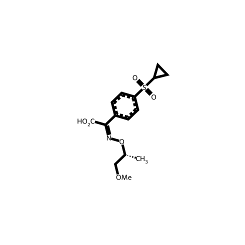 COC[C@@H](C)O/N=C(/C(=O)O)c1ccc(S(=O)(=O)C2CC2)cc1